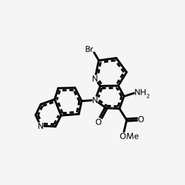 COC(=O)c1c(N)c2ccc(Br)nc2n(-c2ccc3ccncc3c2)c1=O